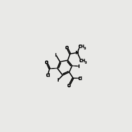 CN(C)C(=O)c1c(I)c(C(=O)Cl)c(I)c(C(=O)Cl)c1I